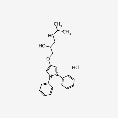 CC(C)NCC(O)COC1=CN(c2ccccc2)S(c2ccccc2)=C1.Cl